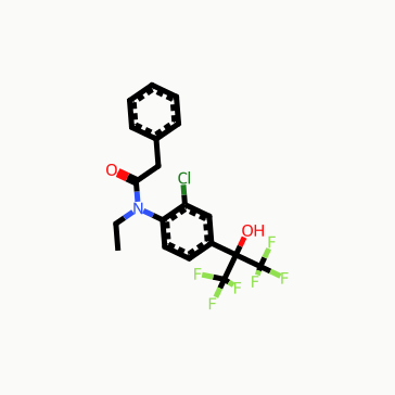 CCN(C(=O)Cc1ccccc1)c1ccc(C(O)(C(F)(F)F)C(F)(F)F)cc1Cl